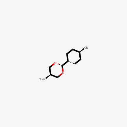 CCCCCC[C@H]1CO[C@H]([C@H]2CC[C@H](C#N)CC2)OC1